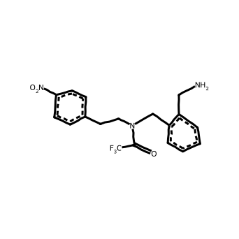 NCc1ccccc1CN(CCc1ccc([N+](=O)[O-])cc1)C(=O)C(F)(F)F